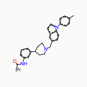 Cc1ccc(-n2ccc3cc(CN4CCC(c5cccc(NC(=O)C(C)C)c5)CC4)ccc32)cc1